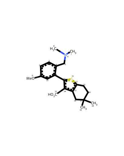 COc1ccc(CN(C)C)c(-c2sc3c(c2C(=O)O)CC(C)(C)CC3)c1